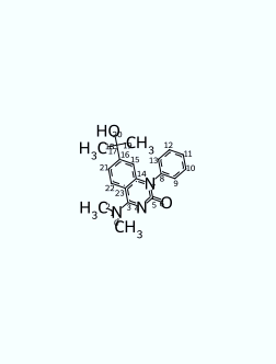 CN(C)c1nc(=O)n(-c2ccccc2)c2cc(C(C)(C)O)ccc12